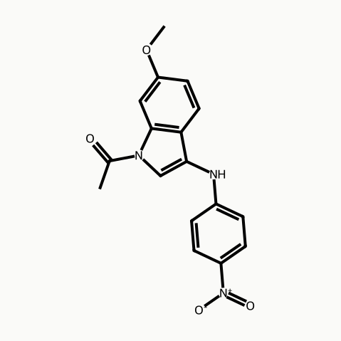 COc1ccc2c(Nc3ccc([N+](=O)[O-])cc3)cn(C(C)=O)c2c1